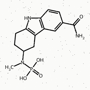 CN(C1CCc2[nH]c3ccc(C(N)=O)cc3c2C1)P(=O)(O)O